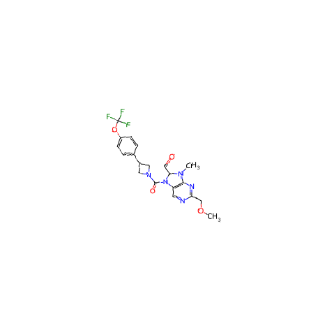 COCc1ncc2c(n1)N(C)C(C=O)N2C(=O)N1CC(c2ccc(OC(F)(F)F)cc2)C1